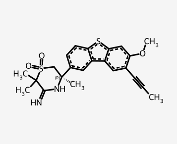 CC#Cc1cc2c(cc1OC)sc1ccc([C@]3(C)CS(=O)(=O)C(C)(C)C(=N)N3)cc12